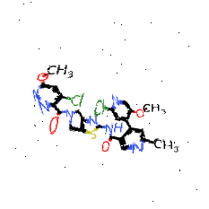 COc1cc(Cl)c(C(=O)N2Cc3nc(NC(=O)c4cnc(C)cc4-c4cc(Cl)ncc4OC)sc3C2)nn1